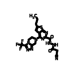 CCCc1cc2c(N3CCn4c(nnc4C(F)(F)F)C3)nc(C(=O)NNC(=O)CC#N)nc2s1